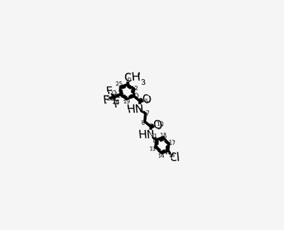 Cc1cc(C(=O)NCCC(=O)Nc2ccc(Cl)cc2)cc(C(F)(F)F)c1